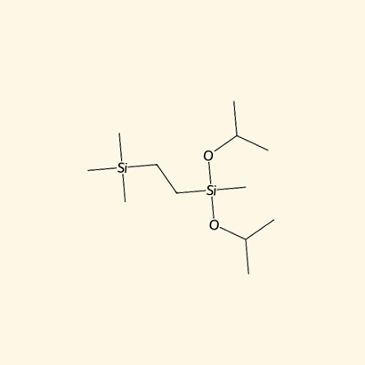 CC(C)O[Si](C)(CC[Si](C)(C)C)OC(C)C